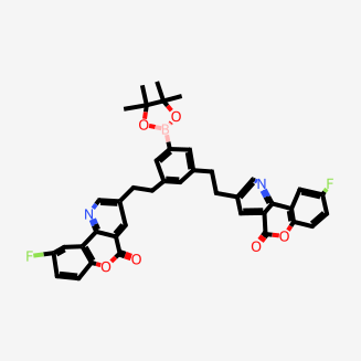 CC1(C)OB(c2cc(CCc3cnc4c(c3)c(=O)oc3ccc(F)cc34)cc(CCc3cnc4c(c3)c(=O)oc3ccc(F)cc34)c2)OC1(C)C